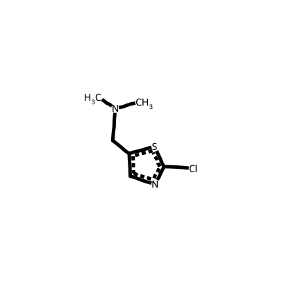 CN(C)Cc1cnc(Cl)s1